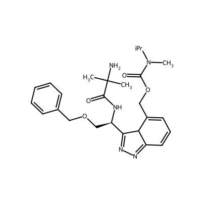 CC(C)N(C)C(=O)OCC1=CC=CC2=NN=C([C@@H](COCc3ccccc3)NC(=O)C(C)(C)N)C12